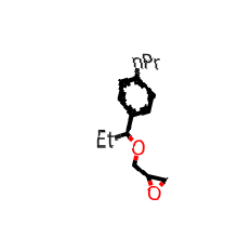 CCCc1ccc(C(CC)OCC2CO2)cc1